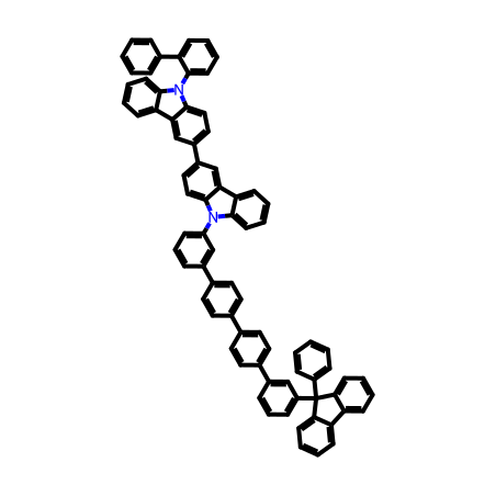 c1ccc(-c2ccccc2-n2c3ccccc3c3cc(-c4ccc5c(c4)c4ccccc4n5-c4cccc(-c5ccc(-c6ccc(-c7cccc(C8(c9ccccc9)c9ccccc9-c9ccccc98)c7)cc6)cc5)c4)ccc32)cc1